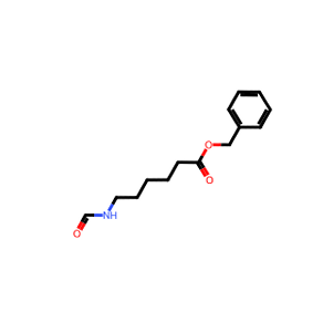 O=CNCCCCCC(=O)OCc1ccccc1